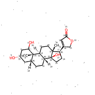 C[C@]12C(O)C[C@@H](O)C[C@H]1CC[C@@H]1[C@@H]2CC[C@]2(C)[C@@H](C3=CC(=O)OC3)CC[C@]12O